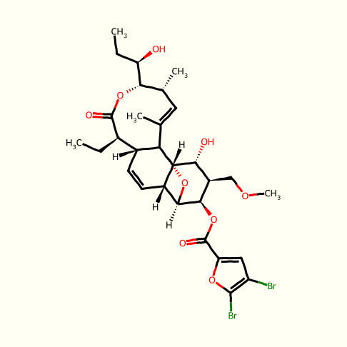 CC[C@@H](O)[C@H]1OC(=O)[C@H](CC)[C@H]2C=C[C@H]3[C@H]4O[C@]2(/C(C)=C/[C@H]1C)[C@@H]3[C@H](O)[C@@H](COC)[C@H]4OC(=O)c1cc(Br)c(Br)o1